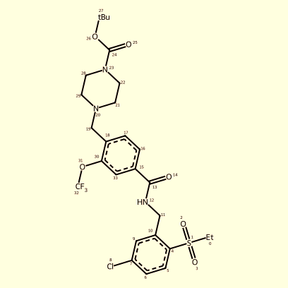 CCS(=O)(=O)c1ccc(Cl)cc1CNC(=O)c1ccc(CN2CCN(C(=O)OC(C)(C)C)CC2)c(OC(F)(F)F)c1